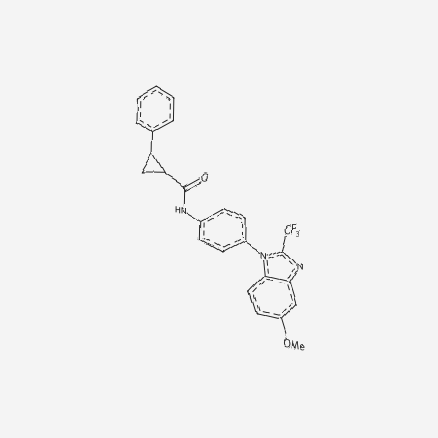 COc1ccc2c(c1)nc(C(F)(F)F)n2-c1ccc(NC(=O)C2CC2c2ccccc2)cc1